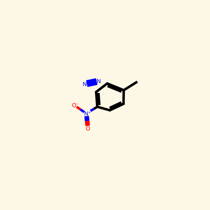 Cc1ccc([N+](=O)[O-])cc1.N#N